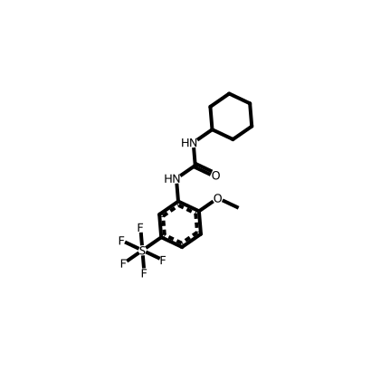 COc1ccc(S(F)(F)(F)(F)F)cc1NC(=O)NC1CCCCC1